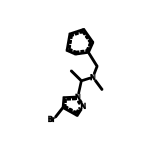 CC(N(C)Cc1ccccc1)n1cc(Br)cn1